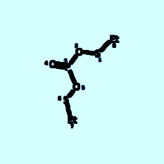 CCSO[P](=O)OSCC